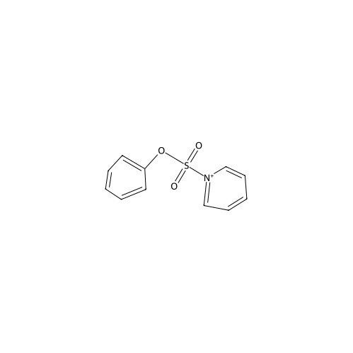 O=S(=O)(Oc1ccccc1)[n+]1ccccc1